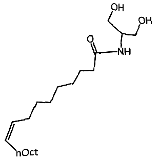 CCCCCCCC/C=C\CCCCCCCC(=O)NC(CO)CO